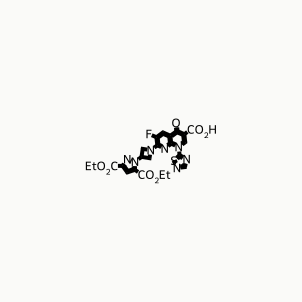 CCOC(=O)c1cc(C(=O)OCC)n(C2CN(c3nc4c(cc3F)c(=O)c(C(=O)O)cn4-c3ncns3)C2)n1